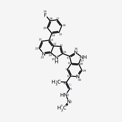 C=NN/C=C(\C)c1cc2c(-c3cc4c(-c5cccc(F)c5)ccnc4[nH]3)n[nH]c2cn1